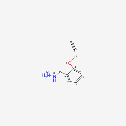 C#CCOc1ccccc1CNN